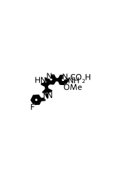 COc1cc(-c2cnc3[nH]cc(-c4cnn(Cc5cccc(F)c5)c4)c3c2)cnc1NC(=O)O